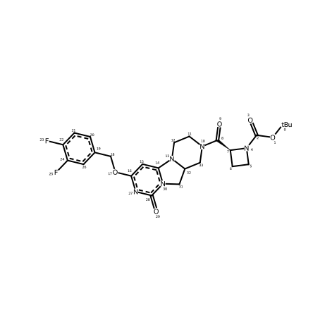 CC(C)(C)OC(=O)N1CC[C@H]1C(=O)N1CCN2c3cc(OCc4ccc(F)c(F)c4)nc(=O)n3CC2C1